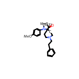 CCOC(=O)N(c1ccc(OC)cc1)C1(C(=O)OC)CCN(CCc2ccccc2)CC1